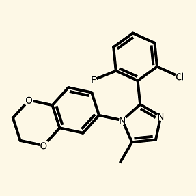 Cc1cnc(-c2c(F)cccc2Cl)n1-c1ccc2c(c1)OCCO2